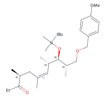 CCC(=O)[C@@H](C)C/C(C)=C\[C@H](C)[C@@H](O[Si](C)(C)C(C)(C)C)[C@@H](C)COCc1ccc(OC)cc1